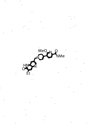 CCc1cc2ncc(CN3CC=C(c4ccc(C(=O)NC)nc4OC)CC3)cc2[nH]c1=O